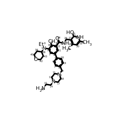 CCN(c1cc(-c2ccc(CN3CCN(CCN)CC3)cc2)cc(C(=O)NCC2=C(C)C=C(C)NC2O)c1C)C1CCOCC1